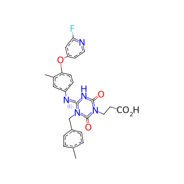 Cc1ccc(Cn2c(=O)n(CCC(=O)O)c(=O)[nH]/c2=N\c2ccc(Oc3ccnc(F)c3)c(C)c2)cc1